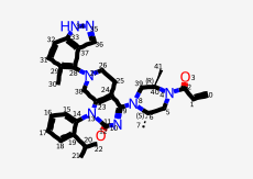 C=CC(=O)N1C[C@H](C)N(c2nc(=O)n(-c3ccccc3C(C)C)c3c2CCN(c2c(C)ccc4[nH]ncc24)C3)C[C@H]1C